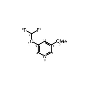 COc1cncc(OC(F)F)c1